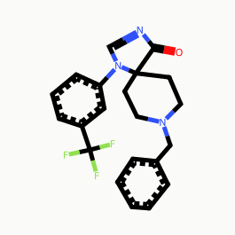 O=C1N=CN(c2cccc(C(F)(F)F)c2)C12CCN(Cc1ccccc1)CC2